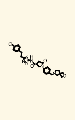 O=C(Nc1nnc(CCc2ccc(Cl)cc2)s1)[C@H]1CC(=O)N(c2ccc(CN3CCC4(COC4)C3)cc2)C1